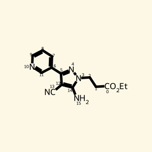 CCOC(=O)CCn1nc(-c2cccnc2)c(C#N)c1N